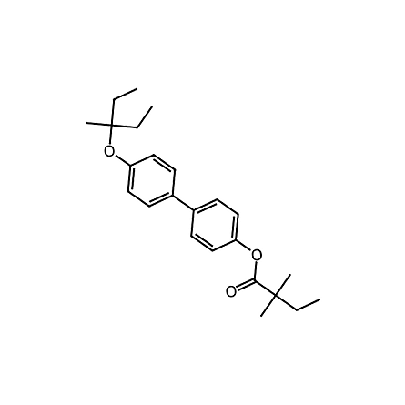 CCC(C)(CC)Oc1ccc(-c2ccc(OC(=O)C(C)(C)CC)cc2)cc1